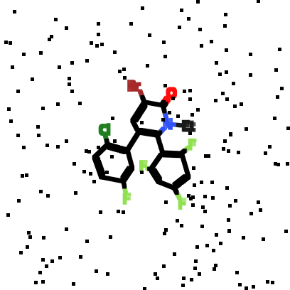 CCn1c(-c2c(F)cc(F)cc2F)c(-c2cc(F)ccc2Cl)cc(Br)c1=O